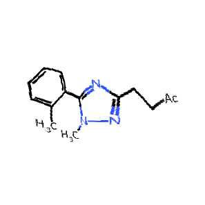 CC(=O)CCc1nc(-c2ccccc2C)n(C)n1